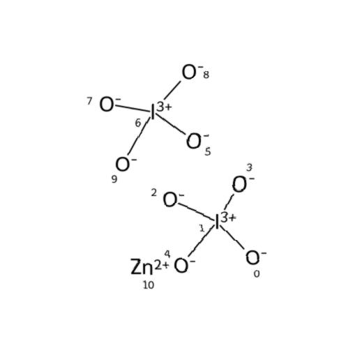 [O-][I+3]([O-])([O-])[O-].[O-][I+3]([O-])([O-])[O-].[Zn+2]